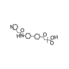 CC(C)(CC(=O)c1ccc(-c2ccc(NC(=O)Cc3cccnc3)cc2)cc1)C(=O)O